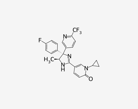 C[C@@H]1NC(c2ccc(=O)n(C3CC3)c2)=N[C@]1(c1ccc(F)cc1)c1ccc(C(F)(F)F)nc1